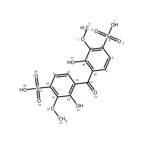 COc1c(S(=O)(=O)O)ccc(C(=O)c2ccc(S(=O)(=O)O)c(OC)c2O)c1O